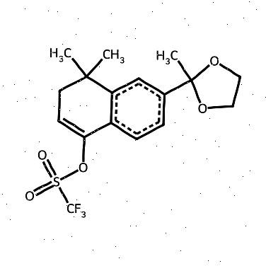 CC1(C)CC=C(OS(=O)(=O)C(F)(F)F)c2ccc(C3(C)OCCO3)cc21